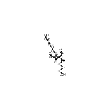 O=PP(POOOO)P(=O)(OOOOOOO)P=O